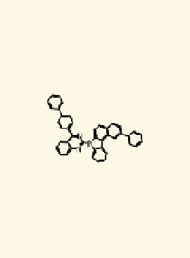 c1ccc(-c2ccc(-c3nc(-n4c5ccccc5c5c6cc(-c7ccccc7)ccc6ccc54)nc4ccccc34)cc2)cc1